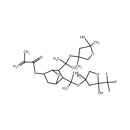 C=C(C)C(=O)OC1CC2OC1C(C(C)(C)OC1(C)COC(C)(O)C1)C2C(C)(C)OC1(C)COC(O)(C(F)(F)F)C1